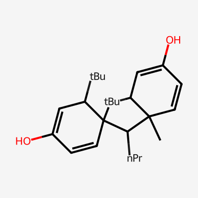 CCCC(C1(C)C=CC(O)=CC1C(C)(C)C)C1(C)C=CC(O)=CC1C(C)(C)C